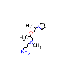 CC(CN(C)CCCN)OCC(C)N1CCCC1